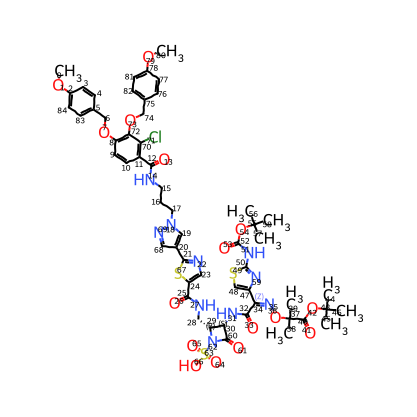 COc1ccc(COc2ccc(C(=O)NCCCn3cc(-c4ncc(C(=O)NC[C@@H]5[C@H](NC(=O)/C(=N\OC(C)(C)C(=O)OC(C)(C)C)c6csc(NC(=O)OC(C)(C)C)n6)C(=O)N5S(=O)(=O)O)s4)cn3)c(Cl)c2OCc2ccc(OC)cc2)cc1